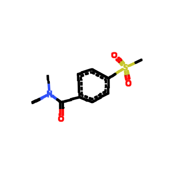 CN(C)C(=O)c1ccc(S(C)(=O)=O)cc1